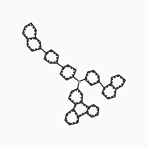 c1cc(-c2cccc3ccccc23)cc(N(c2ccc(-c3ccc(-c4ccc5ccccc5c4)cc3)cc2)c2ccc3c4ccccc4c4ccccc4c3c2)c1